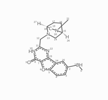 CBc1ccc2oc3c(=O)[nH]c(CN4C[C@@H]5CC[C@H]4CN5C)nc3c2c1